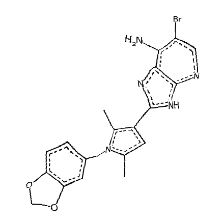 Cc1cc(-c2nc3c(N)c(Br)cnc3[nH]2)c(C)n1-c1ccc2c(c1)OCO2